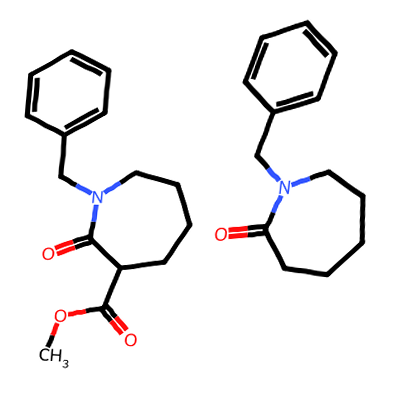 COC(=O)C1CCCCN(Cc2ccccc2)C1=O.O=C1CCCCCN1Cc1ccccc1